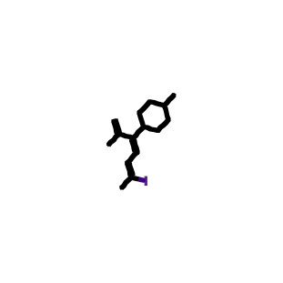 C=C(C)/C(=C\C=C(\C)I)C1CCC(C)CC1